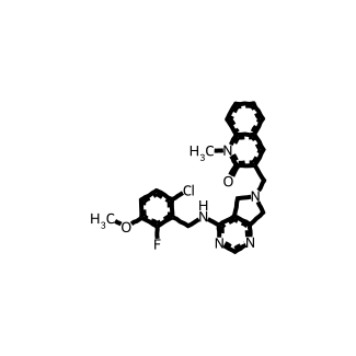 COc1ccc(Cl)c(CNc2ncnc3c2CN(Cc2cc4ccccc4n(C)c2=O)C3)c1F